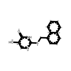 O=c1[nH]c(SCc2cccc3ccccc23)ncc1O